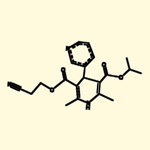 CC1=C(C(=O)OCCC#N)C(c2cccnc2)C(C(=O)OC(C)C)=C(C)N1